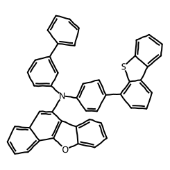 c1ccc(-c2cccc(N(c3ccc(-c4cccc5c4sc4ccccc45)cc3)c3cc4ccccc4c4oc5ccccc5c34)c2)cc1